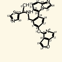 CC(NCc1cc(Oc2nccc3occc23)ccc1-c1cccc2nccn12)c1cncs1